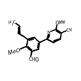 CC=Cc1cc(-c2ccc(C#N)c(OC)n2)cc(C=O)c1OC